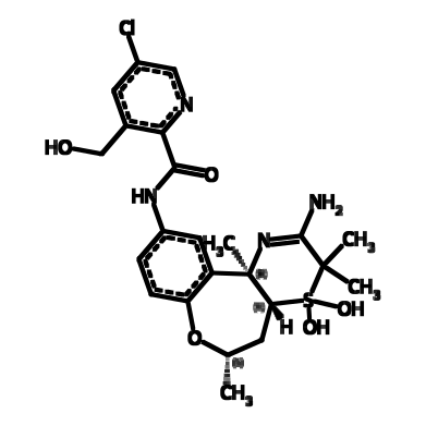 C[C@H]1C[C@@H]2[C@](C)(N=C(N)C(C)(C)S2(O)O)c2cc(NC(=O)c3ncc(Cl)cc3CO)ccc2O1